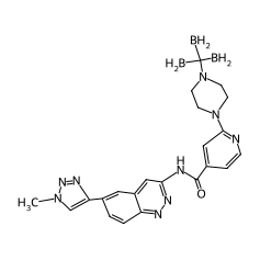 BC(B)(B)N1CCN(c2cc(C(=O)Nc3cc4cc(-c5cn(C)nn5)ccc4nn3)ccn2)CC1